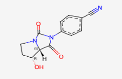 N#Cc1ccc(N2C(=O)[C@@H]3[C@H](O)CCN3C2=O)cc1